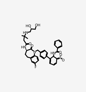 CC(C)(CC(=O)N[C@@H]1CCc2cc(F)ccc2N(Cc2ccc(C3=CC=CC(=S(=O)=O)C3NC(=O)c3ccccc3)cc2)C1=O)NC[C@H](O)CO